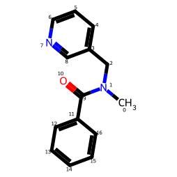 CN(Cc1cccnc1)C(=O)c1ccccc1